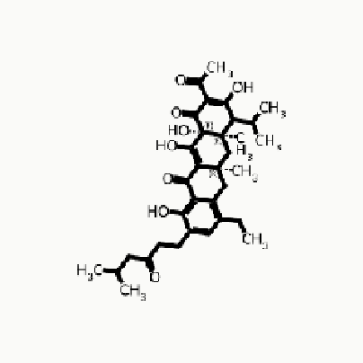 CCc1cc(CCC(=O)CC(C)C)c(O)c2c1C[C@]1(C)C[C@]3(C)C(C(C)C)C(O)=C(C(C)=O)C(=O)[C@]3(O)C(O)=C1C2=O